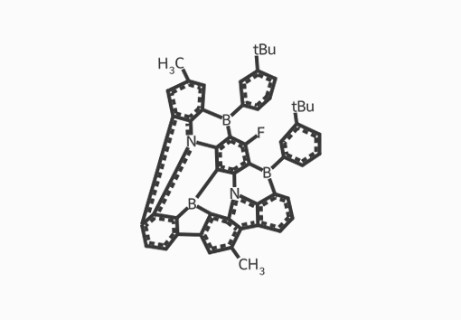 Cc1cc2c3c(c1)c1ccc4c5c1n3-c1c(c(F)c3c6c1B5c1c-4cc(C)c4c5cccc(c5n-6c14)B3c1cccc(C(C)(C)C)c1)B2c1cccc(C(C)(C)C)c1